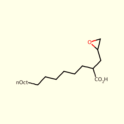 CCCCCCCCCCCCCCC(CC1CO1)C(=O)O